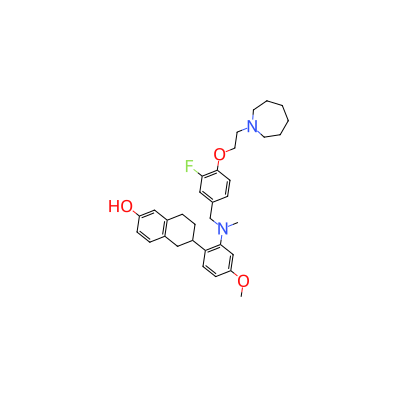 COc1ccc(C2CCc3cc(O)ccc3C2)c(N(C)Cc2ccc(OCCN3CCCCCC3)c(F)c2)c1